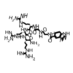 N=C(N)NCCC[C@H](NC(=O)[C@H](CCCNC(=N)N)NC(=O)[C@H](CCCNC(=N)N)NC(=O)CNC(=O)CNC(=O)c1ccc2[nH]nnc2c1)C(N)=O